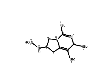 CC(C)(C)C1=NC(C(C)(C)C)C(C(C)(C)C)=C2CC(NS(=O)(=O)O)CN12